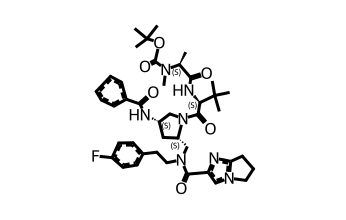 C[C@@H](C(=O)N[C@H](C(=O)N1C[C@@H](NC(=O)c2ccccc2)C[C@H]1CN(CCc1ccc(F)cc1)C(=O)c1cn2c(n1)CCC2)C(C)(C)C)N(C)C(=O)OC(C)(C)C